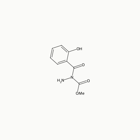 COC(=O)N(N)C(=O)c1ccccc1O